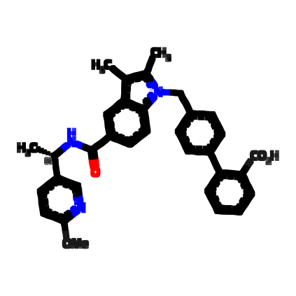 COc1ccc([C@H](C)NC(=O)c2ccc3c(c2)c(C)c(C)n3Cc2ccc(-c3ccccc3C(=O)O)cc2)cn1